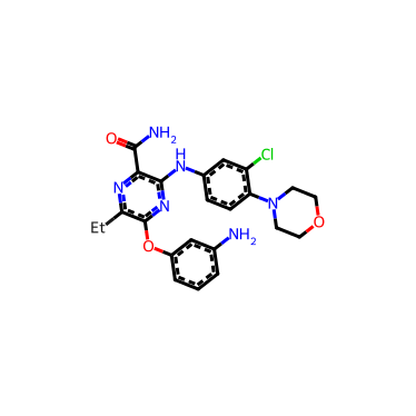 CCc1nc(C(N)=O)c(Nc2ccc(N3CCOCC3)c(Cl)c2)nc1Oc1cccc(N)c1